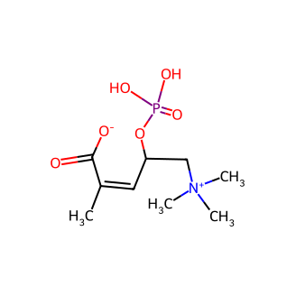 CC(=CC(C[N+](C)(C)C)OP(=O)(O)O)C(=O)[O-]